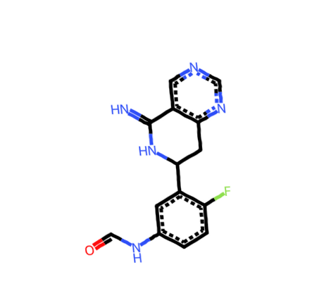 N=C1NC(c2cc(NC=O)ccc2F)Cc2ncncc21